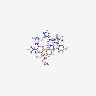 CCNC(=O)[C@H](NC(=O)C(C)(COC)c1ccc2nc([C@@H](NC(=O)c3ccnn3C)[C@H](c3cccc(Cl)c3)C3(C)CC3)[nH]c2c1)C1CCC1